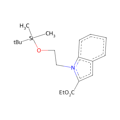 CCOC(=O)c1cc2ccccc2n1CCO[Si](C)(C)C(C)(C)C